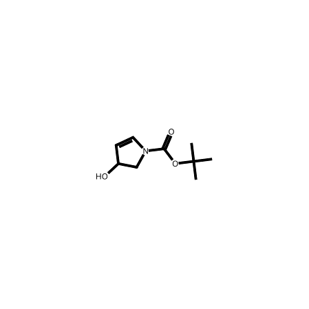 CC(C)(C)OC(=O)N1C=CC(O)C1